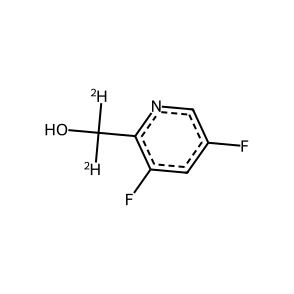 [2H]C([2H])(O)c1ncc(F)cc1F